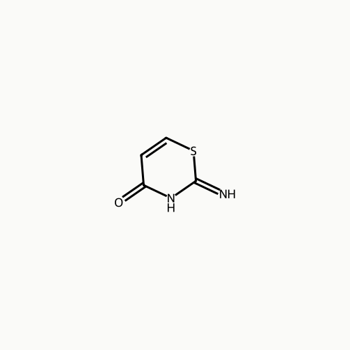 N=c1[nH]c(=O)ccs1